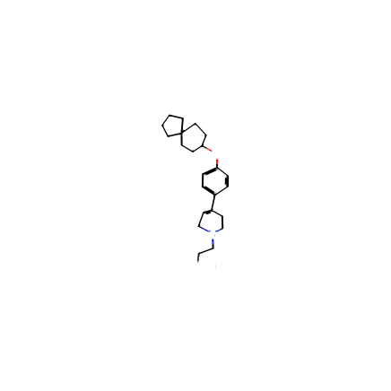 O=C(O)CCN1CC=C(c2ccc(OC3CCC4(CCCC4)CC3)cc2)CC1